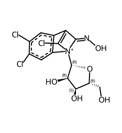 OC[C@H]1O[C@@H]([N+]23C(=NO)C(=C2Cl)c2cc(Cl)c(Cl)cc23)[C@H](O)[C@@H]1O